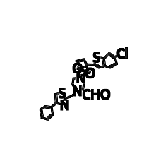 C=CC(c1cc2ccc(Cl)cc2s1)S(=O)(=O)N1CCN(Cc2nc(-c3ccccc3)cs2)C(C=O)C1